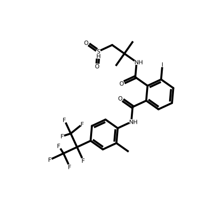 Cc1cc(C(F)(C(F)(F)F)C(F)(F)F)ccc1NC(=O)c1cccc(I)c1C(=O)NC(C)(C)C[SH](=O)=O